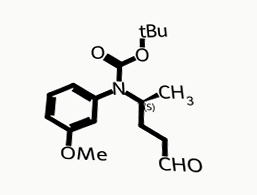 COc1cccc(N(C(=O)OC(C)(C)C)[C@@H](C)CCC=O)c1